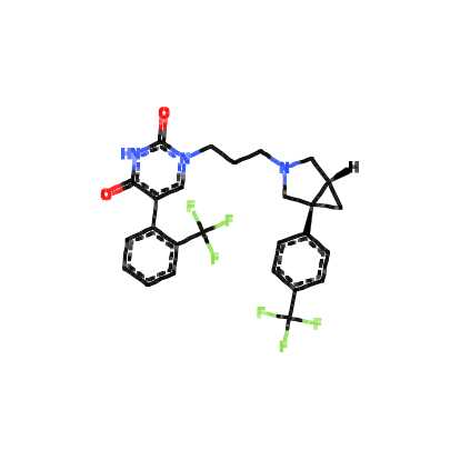 O=c1[nH]c(=O)n(CCCN2C[C@@H]3C[C@]3(c3ccc(C(F)(F)F)cc3)C2)cc1-c1ccccc1C(F)(F)F